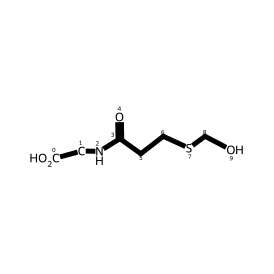 O=C(O)CNC(=O)CCSCO